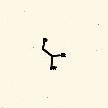 CCCC(CC)C[O]